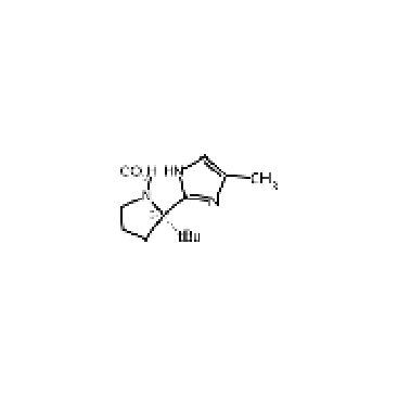 Cc1c[nH]c([C@@]2(C(C)(C)C)CCCN2C(=O)O)n1